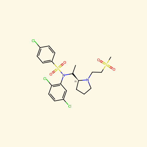 CC([C@@H]1CCCN1CCS(C)(=O)=O)N(c1cc(Cl)ccc1Cl)S(=O)(=O)c1ccc(Cl)cc1